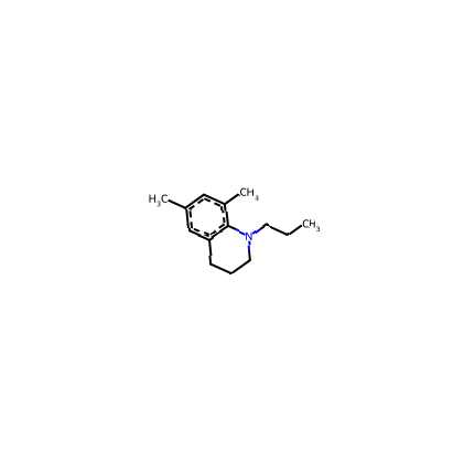 CCCN1CCCc2cc(C)cc(C)c21